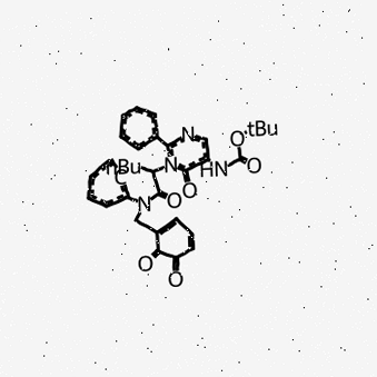 CCCCC(C(=O)N(CC1=CC=CC(=O)C1=O)c1ccccc1)n1c(-c2ccccc2)ncc(NC(=O)OC(C)(C)C)c1=O